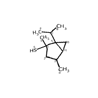 CC1CC(C)(S)C2(C(C)C)CC12